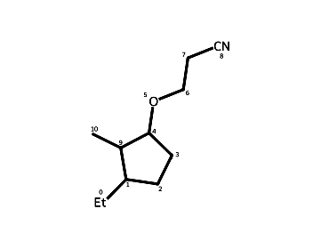 [CH2]CC1C[CH]C(OCCC#N)C1C